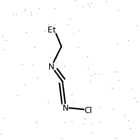 CCCN=C=NCl